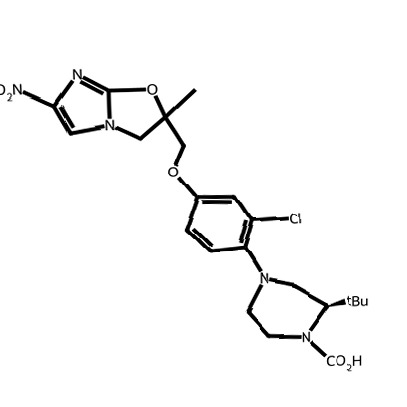 CC1(COc2ccc(N3CCN(C(=O)O)[C@H](C(C)(C)C)C3)c(Cl)c2)Cn2cc([N+](=O)[O-])nc2O1